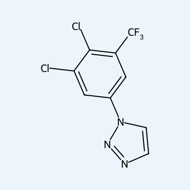 FC(F)(F)c1cc(-n2ccnn2)cc(Cl)c1Cl